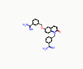 N=C(N)c1cccc(COc2ccc3c(ccc(=O)n3Cc3cccc(C(=N)N)c3)c2)c1